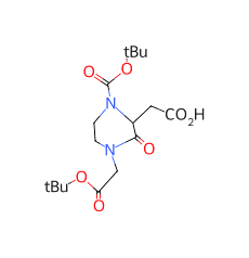 CC(C)(C)OC(=O)CN1CCN(C(=O)OC(C)(C)C)C(CC(=O)O)C1=O